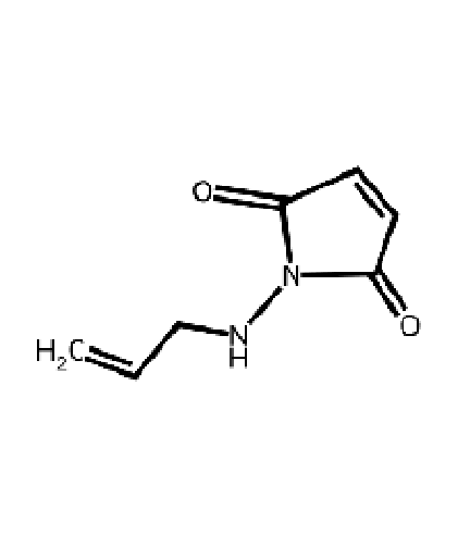 C=CCNN1C(=O)C=CC1=O